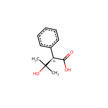 CC(C)(O)[C@H](C(=O)O)c1ccccc1